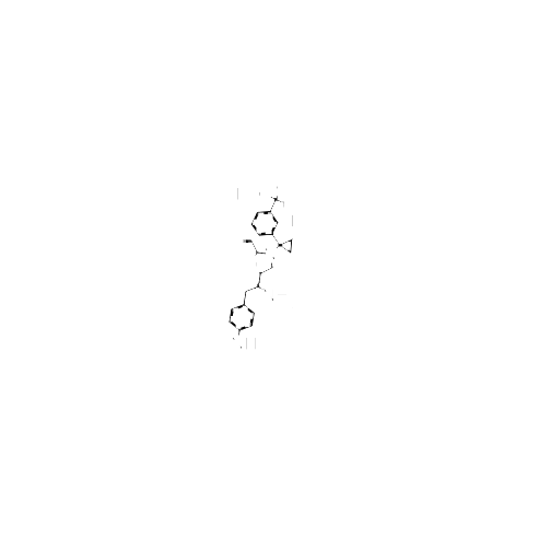 CC(C)(C)c1cccc(C2(N3CC([C@@H](N)Cc4ccc(N)cc4)OC3C=O)CC2)c1